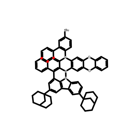 CC(C)(C)c1ccc(N2c3cc4c(cc3B3c5c2cc2ccccc2c5-c2cc(C56CCCC(CCC5)C6)cc5c6cc(C78CCCC(CCC7)C8)ccc6n3c25)Oc2ccccc2O4)c(-c2ccccc2)c1